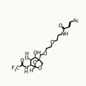 CC(=O)/C=C/C(=O)NCCOCCOC[C@@]12CO[C@@H](O1)[C@@H](NC(=O)C(F)(F)F)[C@@H](O)[C@H]2O